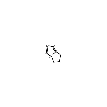 [CH]1Cc2cncn2C1